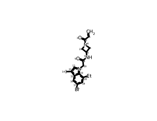 C=CC(=O)N1CC(NC(=O)Cn2cc(I)c3cc(Br)cc(CC)c32)C1